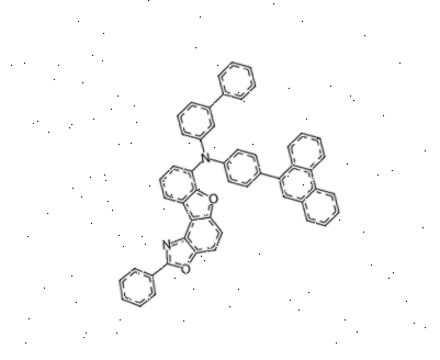 c1ccc(-c2cccc(N(c3ccc(-c4cc5ccccc5c5ccccc45)cc3)c3cccc4c3oc3ccc5oc(-c6ccccc6)nc5c34)c2)cc1